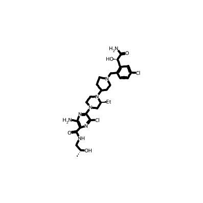 CC[C@H]1CN(c2nc(N)c(C(=O)NC[C@@H](C)O)nc2Cl)CCN1C1CCN(Cc2ccc(Cl)cc2[C@H](O)C(N)=O)CC1